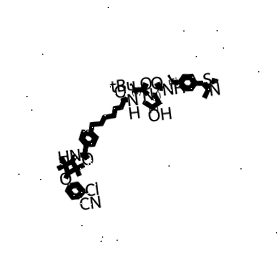 Cc1ncsc1-c1ccc([C@H](C)NC(=O)[C@@H]2C[C@@H](O)CN2C(=O)[C@@H](NC(=O)CCCCCCc2ccc(C(=O)NC3C(C)(C)C(Oc4ccc(C#N)c(Cl)c4)C3(C)C)cc2)C(C)(C)C)cc1